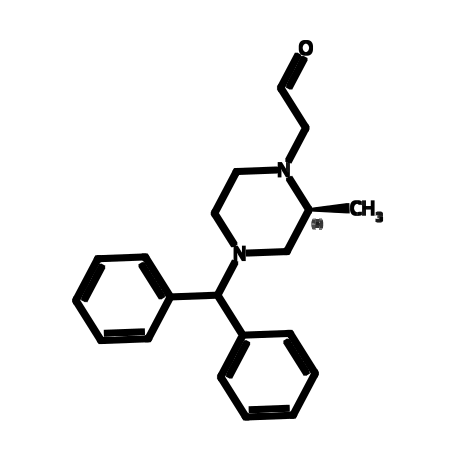 C[C@H]1CN(C(c2ccccc2)c2ccccc2)CCN1CC=O